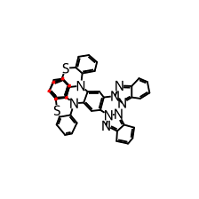 c1ccc2c(c1)Sc1ccccc1N2c1cc(-n2nc3ccccc3n2)c(-n2nc3ccccc3n2)cc1N1c2ccccc2Sc2ccccc21